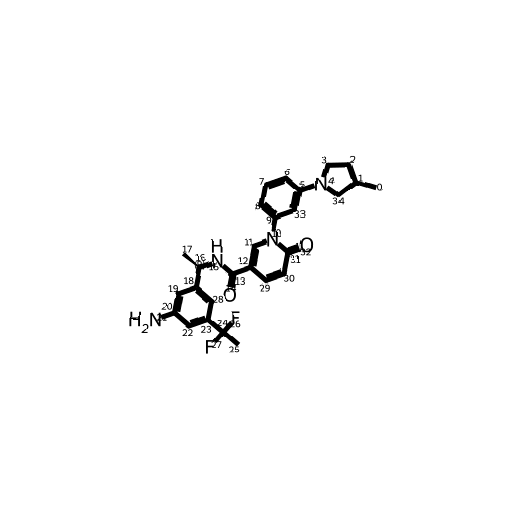 CC1CCN(c2cccc(-n3cc(C(=O)N[C@H](C)c4cc(N)cc(C(C)(F)F)c4)ccc3=O)c2)C1